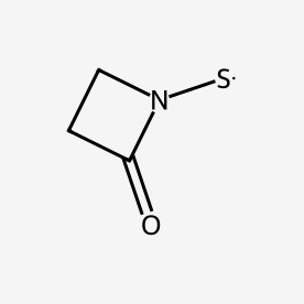 O=C1CCN1[S]